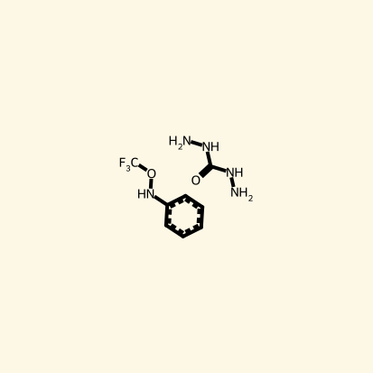 FC(F)(F)ONc1ccccc1.NNC(=O)NN